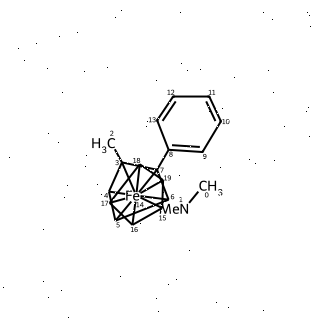 CNC.C[C]12[CH]3[CH]4[CH]5[C]1(c1ccccc1)[Fe]43521678[CH]2[CH]1[CH]6[CH]7[CH]28